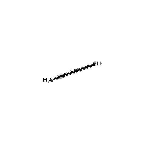 [CH]=CC=CC=CC=CCCCCCCCCCCCCCCCCCCC